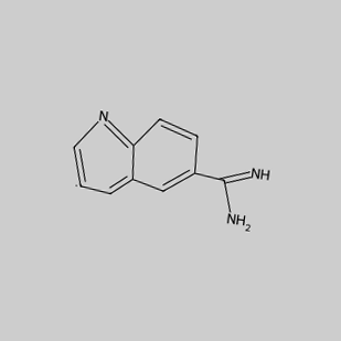 N=C(N)c1ccc2nc[c]cc2c1